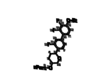 CCCCCOC1CCC(c2ccc(-c3ccc(OCC)c(F)c3F)cc2F)OC1